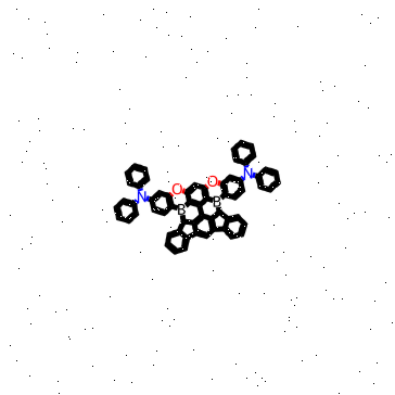 c1ccc(N(c2ccccc2)c2ccc3c(c2)Oc2cc4c5c6c2B3C2c3ccccc3-c3cc7c(c-6c32)C(B5c2ccc(N(c3ccccc3)c3ccccc3)cc2O4)c2ccccc2-7)cc1